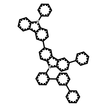 c1ccc(-c2cccc(-c3ccccc3-n3c4ccc(-c5ccccc5)cc4c4cc(-c5ccc6c(c5)c5ccccc5n6-c5ccccc5)ccc43)c2)cc1